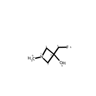 CN1CC(O)(CF)C1